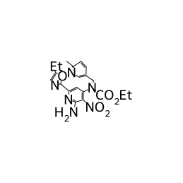 CCOC(=O)N(Cc1ccc(C)nc1)c1cc(-c2ncc(CC)o2)nc(N)c1[N+](=O)[O-]